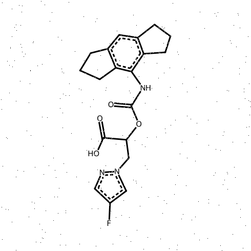 O=C(Nc1c2c(cc3c1CCC3)CCC2)OC(Cn1cc(F)cn1)C(=O)O